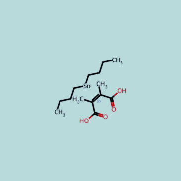 C/C(C(=O)O)=C(\C)C(=O)O.CCC[CH2][Sn][CH2]CCC